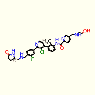 Cc1c(NC(=O)c2ccc(CNCCO)cn2)cccc1-c1ccnc(-c2ccc(CNC[C@@H]3CCC(=O)N3)c(F)c2)c1Cl